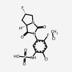 CCl.O=C1[C@H]2C[C@H](F)CN2C(=O)N1c1cc(NS(=O)(=O)O)c(Cl)cc1F